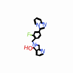 OC1c2cccnc2CN1Cc1ccc(-c2cnc3ccccn23)cc1F